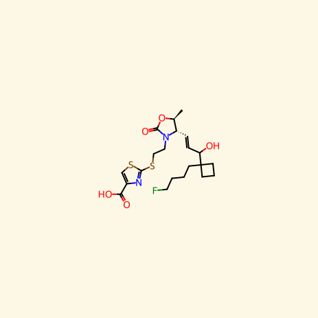 C[C@@H]1OC(=O)N(CCSc2nc(C(=O)O)cs2)[C@H]1/C=C/C(O)C1(CCCCF)CCC1